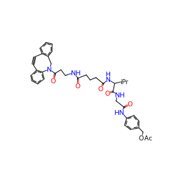 CC(=O)OCc1ccc(NC(=O)CNC(=O)C(NC(=O)CCCC(=O)NCCC(=O)N2Cc3ccccc3C#Cc3ccccc32)C(C)C)cc1